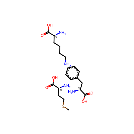 CSCC[C@H](N)C(=O)O.NCCCC[C@H](N)C(=O)O.N[C@@H](Cc1ccccc1)C(=O)O